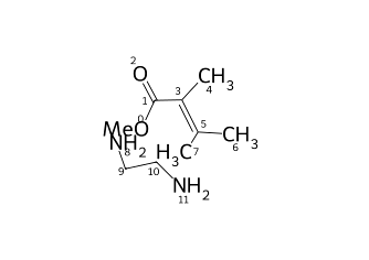 COC(=O)C(C)=C(C)C.NCCN